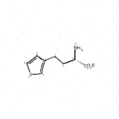 N[C@@H](CCc1ccsc1)C(=O)O